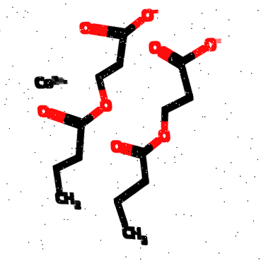 CCCC(=O)OCCC(=O)[O-].CCCC(=O)OCCC(=O)[O-].[Co+2]